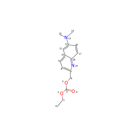 CCOC(=O)OCc1ccc2cc(N(C)C)ccc2n1